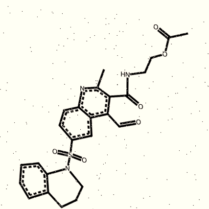 CC(=O)OCCNC(=O)c1c(C)nc2ccc(S(=O)(=O)N3CCCc4ccccc43)cc2c1C=O